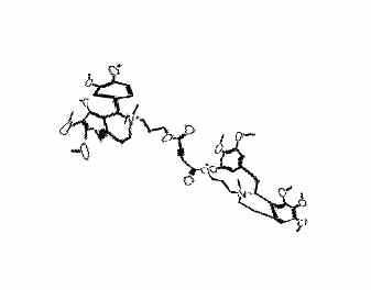 COc1ccc(C2c3c(cc(OC)c(OC)c3OC)CC[N+]2(C)CCCOC(=O)C#CC(=O)OCCC[N+]2(C)CCc3cc(OC)c(OC)c(OC)c3C2Cc2cc(OC)c(OC)c(OC)c2)cc1OC